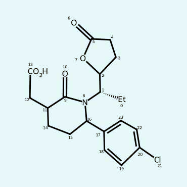 CC[C@@H](C1CCC(=O)O1)N1C(=O)C(CC(=O)O)CCC1c1ccc(Cl)cc1